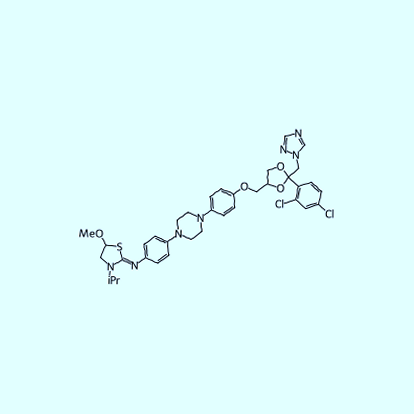 COC1CN(C(C)C)C(=Nc2ccc(N3CCN(c4ccc(OCC5COC(Cn6cncn6)(c6ccc(Cl)cc6Cl)O5)cc4)CC3)cc2)S1